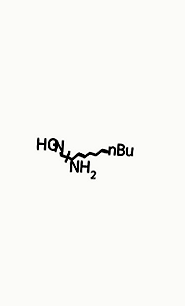 CCCCC=CCCC=CC(N)C(C)(C)C=NO